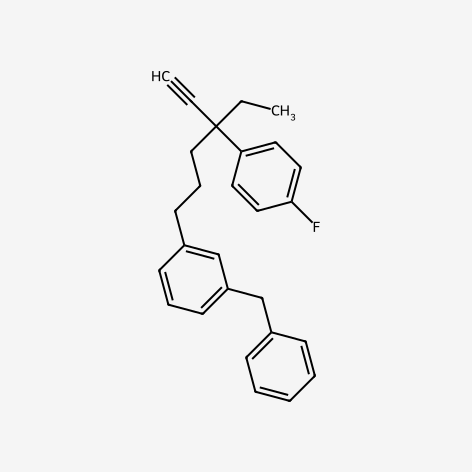 C#CC(CC)(CCCc1cccc(Cc2ccccc2)c1)c1ccc(F)cc1